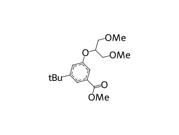 COCC(COC)Oc1cc(C(=O)OC)cc(C(C)(C)C)c1